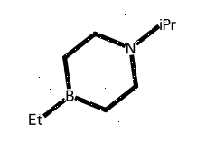 CCB1CCN(C(C)C)CC1